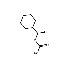 O=C(O)OC(Cl)C1CCCCC1